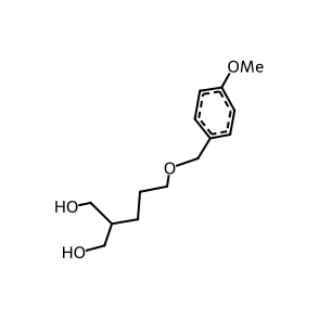 COc1ccc(COCCCC(CO)CO)cc1